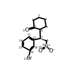 O=C1CCCCC1[C@@H](C[N+](=O)[O-])c1cccc(Br)c1